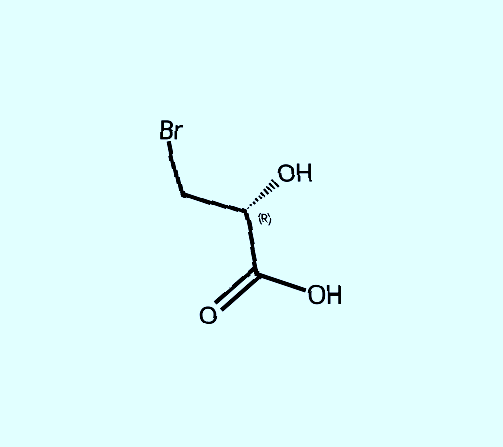 O=C(O)[C@@H](O)CBr